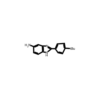 CC(C)(C)c1ccc(-c2nc3cc(N)ccc3[nH]2)cc1